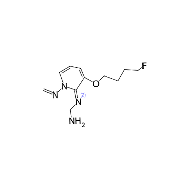 C=Nn1cccc(OCCCCF)/c1=N/CN